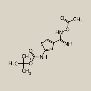 CC(=O)ONC(=N)c1csc(NC(=O)OC(C)(C)C)c1